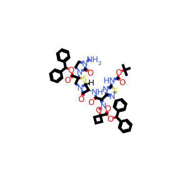 CC(C)(C)OC(=O)Nc1nc(/C(=N/OC2(C(=O)OC(c3ccccc3)c3ccccc3)CCC2)C(=O)N[C@@H]2C(=O)N3C[C@@](C(=O)OC(c4ccccc4)c4ccccc4)(N4CCN(N)C4=O)S[C@H]23)ns1